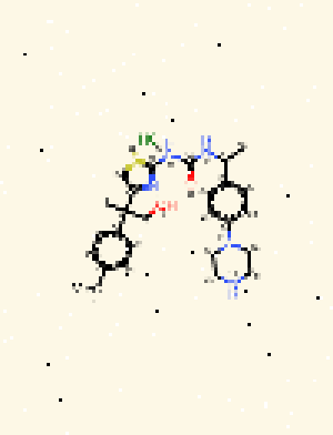 COc1ccc(C(C)(CO)c2csc(NC(=O)NC(C)c3ccc(N4CCNCC4)cc3)n2)cc1.Cl